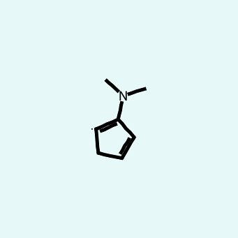 CN(C)C1=[C]CC=C1